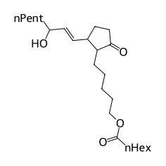 CCCCCCC(=O)OCCCCCC1C(=O)CCC1/C=C/C(O)CCCCC